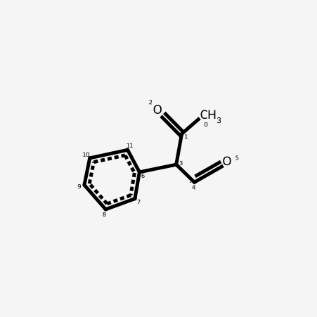 CC(=O)C([C]=O)c1ccccc1